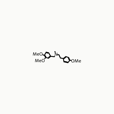 COc1ccc(CCN(C)Cc2ccc(OC)c(OC)c2)cc1